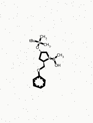 CB(O)N1C[C@@H](O[Si](C)(C)C(C)(C)C)C[C@@H]1COc1ccccc1